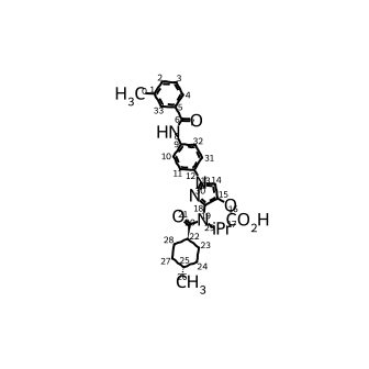 Cc1cccc(C(=O)Nc2ccc(-n3cc(OC(=O)O)c(N(C(=O)[C@H]4CC[C@H](C)CC4)C(C)C)n3)cc2)c1